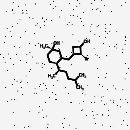 CC(C)CC[C@@H](C)[C@H]1CC[C@@](C)(O)CC1CC1CC(O)[C@@H]1Br